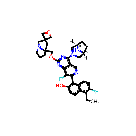 CCc1c(F)ccc2c(-c3ncc4c(N5C[C@H]6CC[C@@H](C5)N6)nc(OCC56CCCN5CC5(COC5)C6)nc4c3F)c(O)ccc12